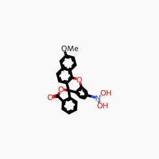 COc1ccc2c3c(ccc2c1)C1(OC(=O)c2ccccc21)c1ccc(N(O)O)cc1O3